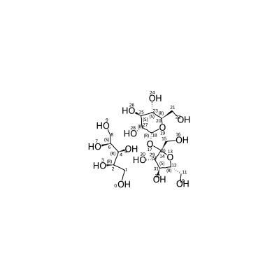 OC[C@@H](O)[C@H](O)[C@@H](O)CO.OC[C@H]1O[C@@](CO)(O[C@H]2O[C@H](CO)[C@@H](O)[C@H](O)[C@H]2O)[C@@H](O)[C@@H]1O